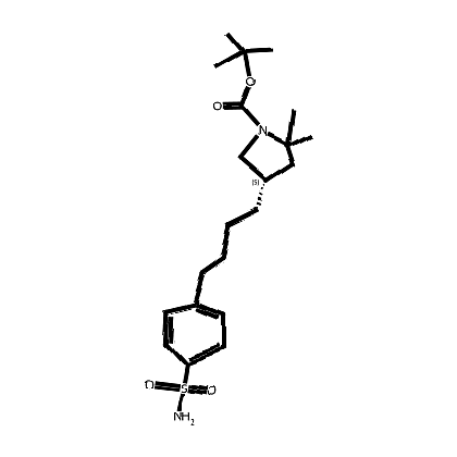 CC(C)(C)OC(=O)N1C[C@@H](CCCCc2ccc(S(N)(=O)=O)cc2)CC1(C)C